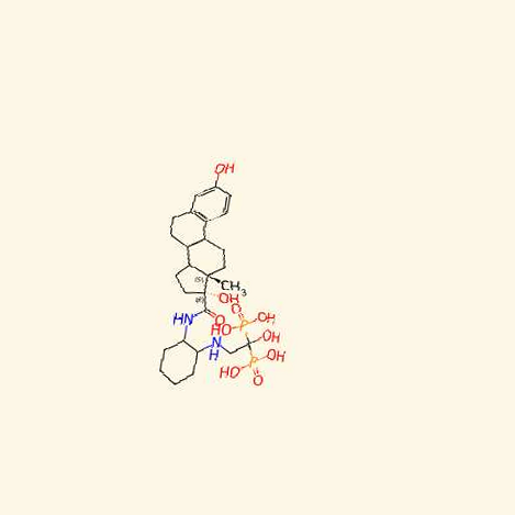 C[C@]12CCC3c4ccc(O)cc4CCC3C1CC[C@]2(O)C(=O)NC1CCCCC1NCC(O)(P(=O)(O)O)P(=O)(O)O